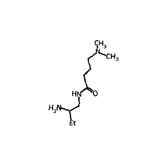 CCC(N)CNC(=O)CCCN(C)C